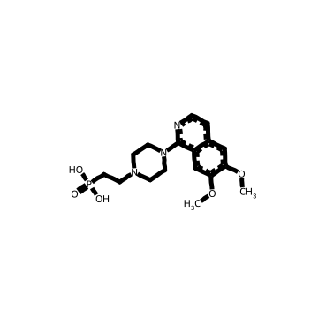 COc1cc2ccnc(N3CCN(CCP(=O)(O)O)CC3)c2cc1OC